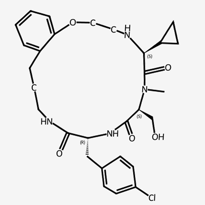 CN1C(=O)[C@H](C2CC2)NCCOc2ccccc2CCCNC(=O)[C@@H](Cc2ccc(Cl)cc2)NC(=O)[C@@H]1CO